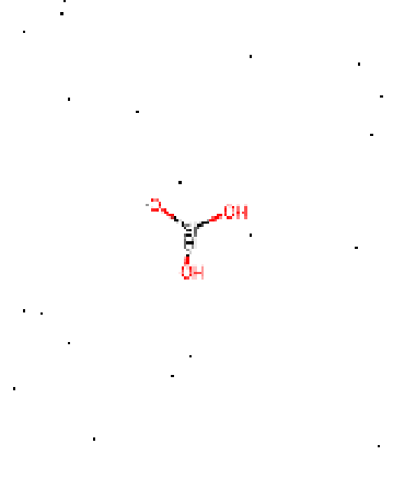 [O][SiH](O)O